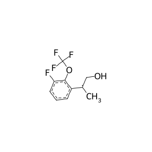 C[C](CO)c1cccc(F)c1OC(F)(F)F